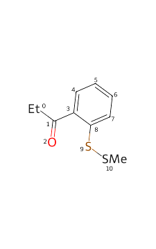 CCC(=O)c1ccccc1SSC